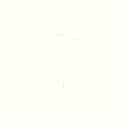 CCC(=CCCC(=O)O)c1cccc(Br)c1